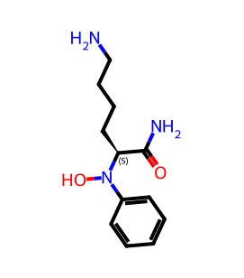 NCCCC[C@@H](C(N)=O)N(O)c1ccccc1